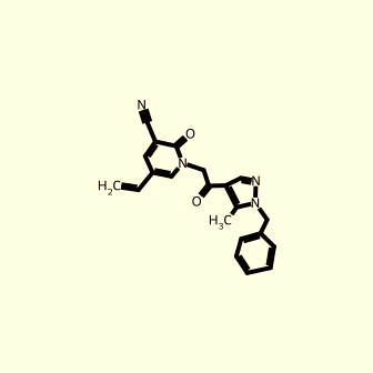 C=Cc1cc(C#N)c(=O)n(CC(=O)c2cnn(Cc3ccccc3)c2C)c1